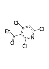 CCC(=O)c1c(Cl)cc(Cl)nc1Cl